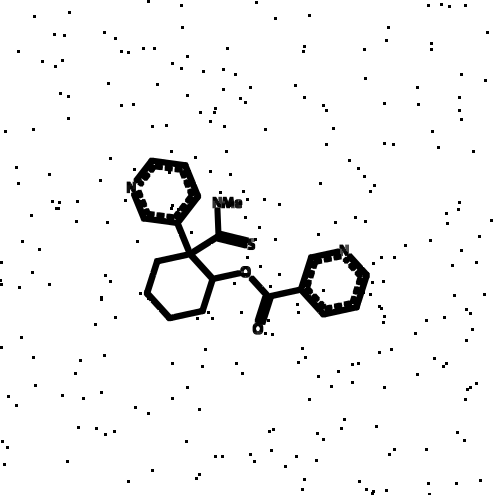 CNC(=S)C1(c2cccnc2)CCCCC1OC(=O)c1cccnc1